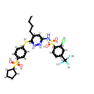 CCCCc1cc(NS(=O)(=O)c2ccc(C(F)(F)F)cc2Cl)nnc1Sc1ccc(S(=O)(=O)C2CCCC2)cc1